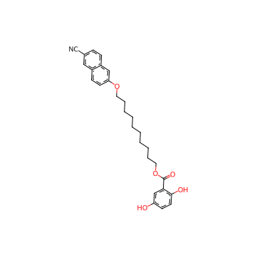 N#Cc1ccc2cc(OCCCCCCCCCCOC(=O)c3cc(O)ccc3O)ccc2c1